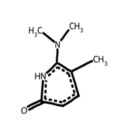 Cc1ccc(=O)[nH]c1N(C)C